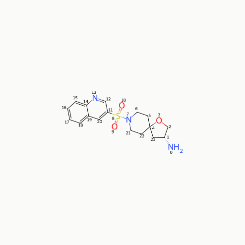 N[C@H]1COC2(CCN(S(=O)(=O)c3cnc4ccccc4c3)CC2)C1